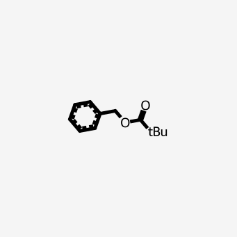 [CH2]C(C)(C)C(=O)OCc1ccccc1